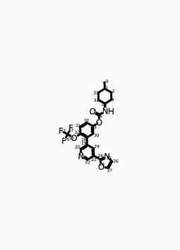 CC1CCC(NC(=O)Oc2ccc(OC(F)(F)F)c(-c3cncc(-c4ncco4)c3)c2)CC1